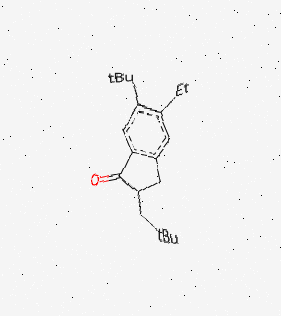 CCc1cc2c(cc1C(C)(C)C)C(=O)C(CC(C)(C)C)C2